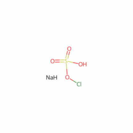 O=S(=O)(O)OCl.[NaH]